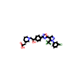 O=C(O)C[C@H]1CCCN(C[C@H](O)c2ccc(-c3noc(-c4cnn(-c5cccc(Cl)c5)c4C(F)(F)F)n3)cc2)C1